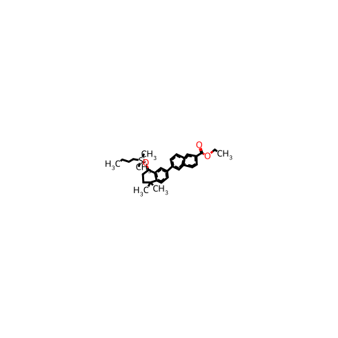 CCCC[Si](C)(C)OC1CCC(C)(C)c2ccc(-c3ccc4cc(C(=O)OCC)ccc4c3)cc21